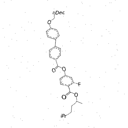 CCCCCCCCCCCOc1ccc(-c2ccc(C(=O)Oc3ccc(C(=O)OC(C)CCC(C)C)c(F)c3)cc2)cc1